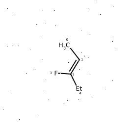 C/C=C(\F)CC